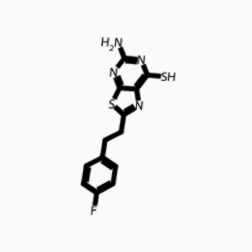 Nc1nc(S)c2nc(CCc3ccc(F)cc3)sc2n1